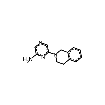 Nc1cncc(N2CCc3ccccc3C2)n1